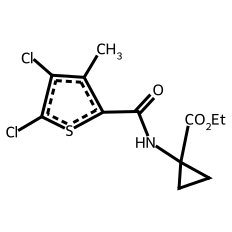 CCOC(=O)C1(NC(=O)c2sc(Cl)c(Cl)c2C)CC1